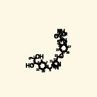 C[C@@H](O)[C@@H](O)c1ccc(Cn2cc(COc3ccc4nc(S(N)(=O)=O)sc4c3)nn2)cc1